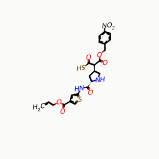 C=CCOC(=O)c1csc(NC(=O)[C@@H]2C[C@@H](C(C(=O)S)C(=O)OCc3ccc([N+](=O)[O-])cc3)CN2)c1